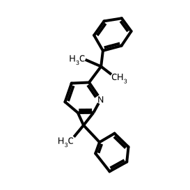 CC(C)(c1ccccc1)c1ccc2c(n1)C2(C)c1ccccc1